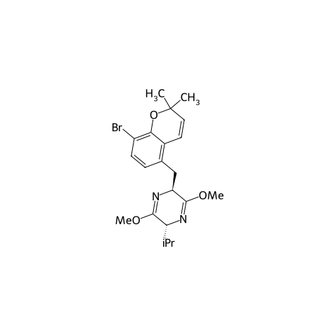 COC1=N[C@H](C(C)C)C(OC)=N[C@H]1Cc1ccc(Br)c2c1C=CC(C)(C)O2